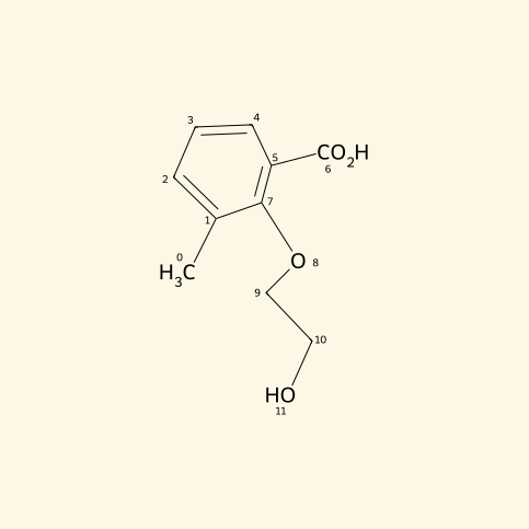 Cc1cccc(C(=O)O)c1OCCO